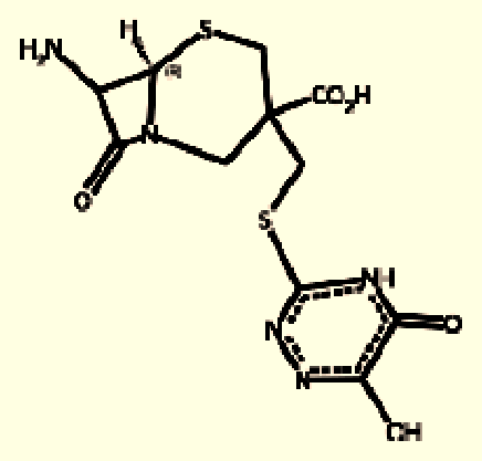 NC1C(=O)N2CC(CSc3nnc(O)c(=O)[nH]3)(C(=O)O)CS[C@H]12